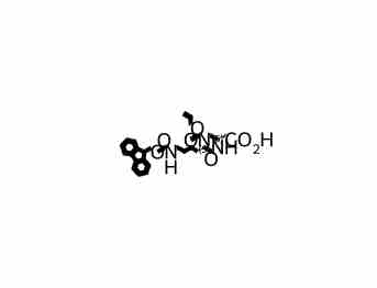 C=CCOC(=O)N1C[C@H](CC(=O)O)NC(=O)[C@@H]1CCCCNC(=O)OCC1c2ccccc2-c2ccccc21